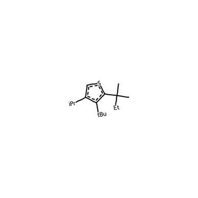 CCC(C)(C)c1scc(C(C)C)c1C(C)(C)C